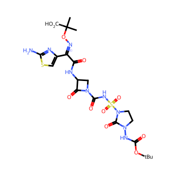 CC(C)(C)OC(=O)NN1CCN(S(=O)(=O)NC(=O)N2CC(NC(=O)/C(=N/OC(C)(C)C(=O)O)c3csc(N)n3)C2=O)C1=O